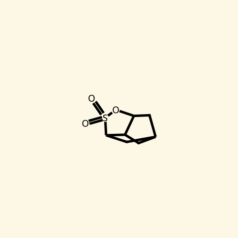 O=S1(=O)OC2CC3CC2C1C3